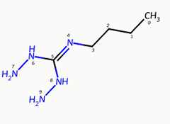 CCCCN=C(NN)NN